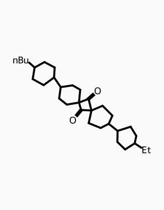 CCCCC1CCC(C2CCC3(CC2)C(=O)C2(CCC(C4CCC(CC)CC4)CC2)C3=O)CC1